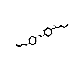 C=CCC[C@H]1CC[C@H](CC[C@H]2CC[C@H](OCCCC)CC2)CC1